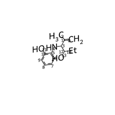 C=C(C)C(Nc1ccccc1O)C(O)CC